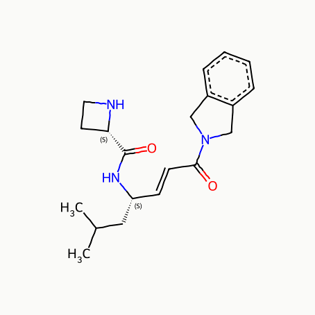 CC(C)C[C@@H](C=CC(=O)N1Cc2ccccc2C1)NC(=O)[C@@H]1CCN1